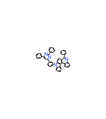 c1ccc(-c2cc(-c3cccc(-n4c5ccccc5c5c6c(ccc54)c(-c4ccccc4)nc4ccccc46)c3)nc(-c3ccccc3)n2)cc1